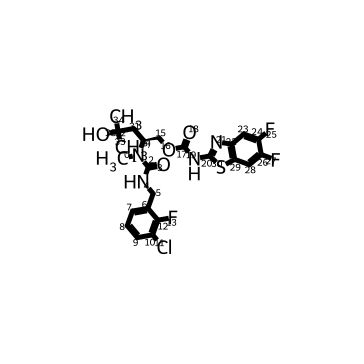 CN(C(=O)NCc1cccc(Cl)c1F)[C@H](COC(=O)Nc1nc2cc(F)c(F)cc2s1)CC(C)(C)O